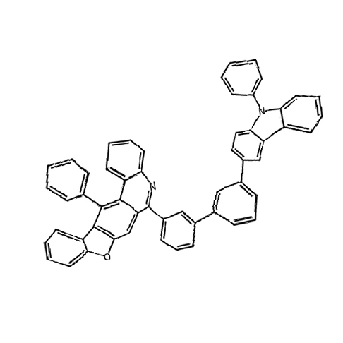 c1ccc(-c2c3c(cc4c(-c5cccc(-c6cccc(-c7ccc8c(c7)c7ccccc7n8-c7ccccc7)c6)c5)nc5ccccc5c24)oc2ccccc23)cc1